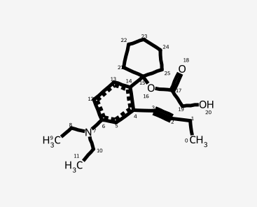 CCC#Cc1cc(N(CC)CC)ccc1C1(OC(=O)CO)CCCCC1